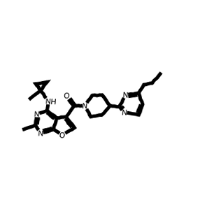 CCCc1ccnc(C2CCN(C(=O)c3coc4nc(C)nc(NC5(C)CC5)c34)CC2)n1